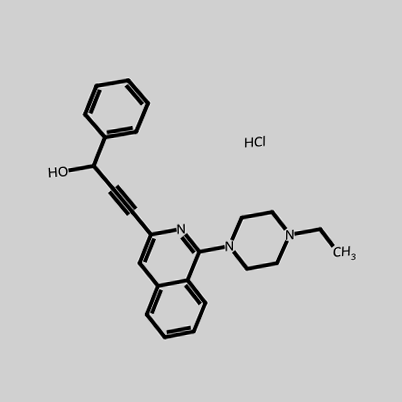 CCN1CCN(c2nc(C#CC(O)c3ccccc3)cc3ccccc23)CC1.Cl